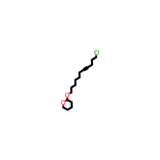 ClCCCC#CCCCCCCOC1CCCCO1